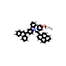 COc1ccc([N+](C=Cc2ccc3ccc4cccc5ccc2c3c45)(c2ccccc2)c2ccc(C(=Cc3ccccc3)c3ccccc3)cc2)cc1